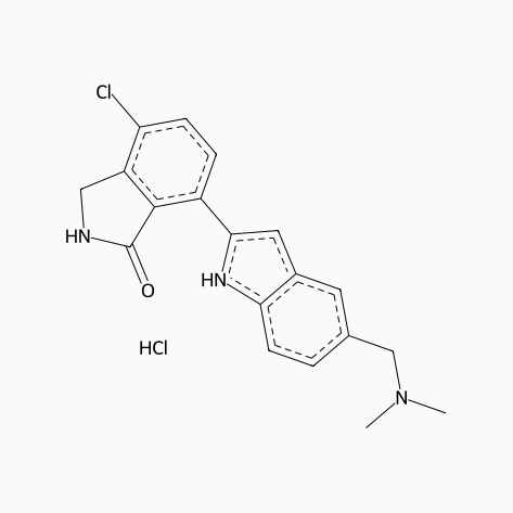 CN(C)Cc1ccc2[nH]c(-c3ccc(Cl)c4c3C(=O)NC4)cc2c1.Cl